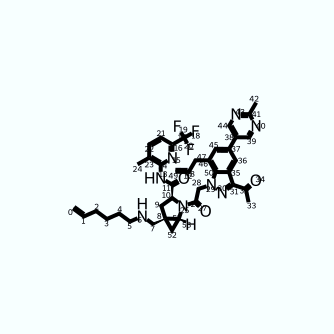 C=CCCCCNC[C@@]12C[C@@H](C(=O)Nc3nc(C(F)(F)F)ccc3C)N(C(=O)Cn3nc(C(C)=O)c4cc(-c5cnc(C)nc5)cc(CC=C)c43)[C@@H]1C2